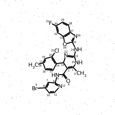 CC1=C(C(=O)Nc2cc(Br)ccn2)C(c2ccc(C)cc2Cl)N=C(Nc2nc3ccc(F)cc3o2)N1